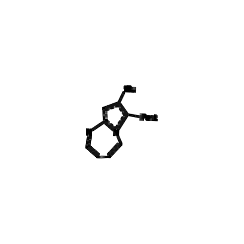 CCCC(C)c1c(C(C)(C)C)cc2n1C=CC=C=N2